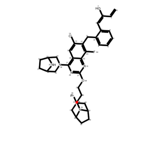 C=C/C(O)=C\c1ccccc1Cc1c(Cl)cc2c(N3CC4CCC(C3)N4)nc(OCCCN3C4CCC3CN(C(C)C)C4)nc2c1F